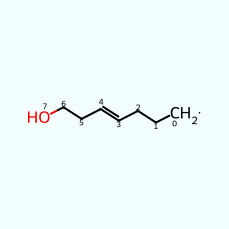 [CH2]CCC=CCCO